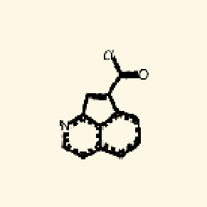 O=C(Cl)C1=Cc2nccc3cccc1c23